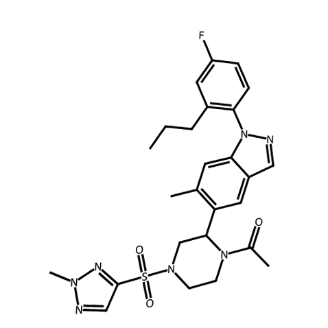 CCCc1cc(F)ccc1-n1ncc2cc(C3CN(S(=O)(=O)c4cnn(C)n4)CCN3C(C)=O)c(C)cc21